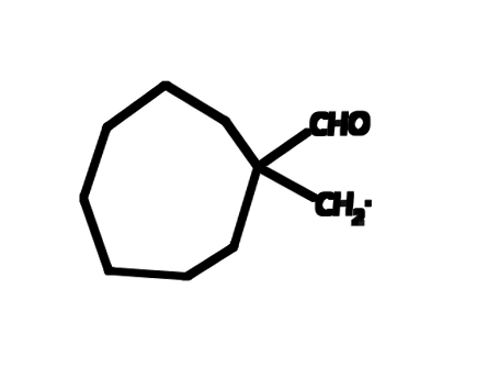 [CH2]C1(C=O)CCCCCCC1